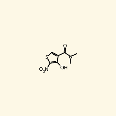 CN(C)C(=O)c1csc([N+](=O)[O-])c1O